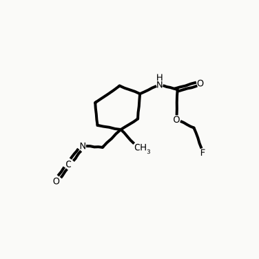 CC1(CN=C=O)CCCC(NC(=O)OCF)C1